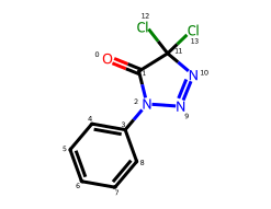 O=C1N(c2ccccc2)N=NC1(Cl)Cl